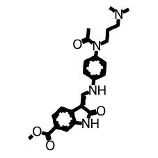 COC(=O)c1ccc2c(c1)NC(=O)C2=CNc1ccc(N(CCCN(C)C)C(C)=O)cc1